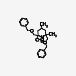 C=C1CC(C)(COCc2ccccc2)NC(C)(COCc2ccccc2)C1